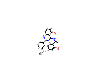 C=C(/N=C(\N=C(/N)c1cccc(SC#N)c1)c1ccccc1O)c1ccccc1O